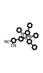 N#Cc1ccc(-c2ccc(B(c3ccc(-c4ccccc4)cc3Nc3ccccc3)c3ccc(-c4ccccc4)cc3Nc3ccccc3)cc2)cc1C#N